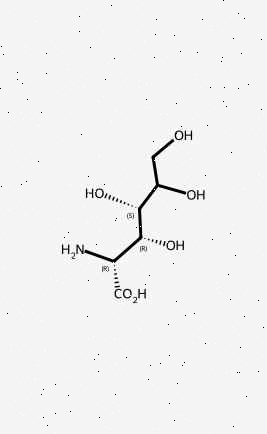 N[C@@H](C(=O)O)[C@@H](O)[C@H](O)C(O)CO